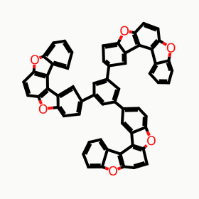 c1ccc2c(c1)oc1ccc3oc4ccc(-c5cc(-c6ccc7oc8ccc9oc%10ccccc%10c9c8c7c6)cc(-c6ccc7oc8ccc9oc%10ccccc%10c9c8c7c6)c5)cc4c3c12